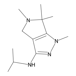 CC(C)Nc1nn(C)c2c1CN(C)C2(C)C